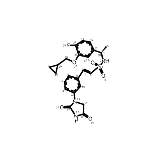 C[C@@H](NS(=O)(=O)/C=C/c1cccc(N2CC(=O)NC2=O)c1)c1ccc(F)c(OCC2CC2)c1